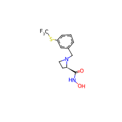 O=C(NO)[C@H]1CCN1Cc1cccc(SC(F)(F)F)c1